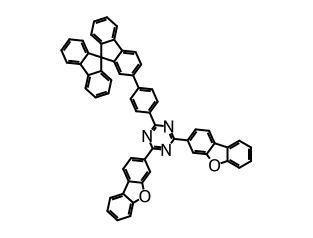 c1ccc2c(c1)-c1ccccc1C21c2ccccc2-c2ccc(-c3ccc(-c4nc(-c5ccc6c(c5)oc5ccccc56)nc(-c5ccc6c(c5)oc5ccccc56)n4)cc3)cc21